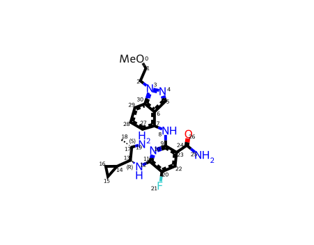 COCCn1ncc2c(Nc3nc(N[C@H](C4CC4)[C@H](C)N)c(F)cc3C(N)=O)cccc21